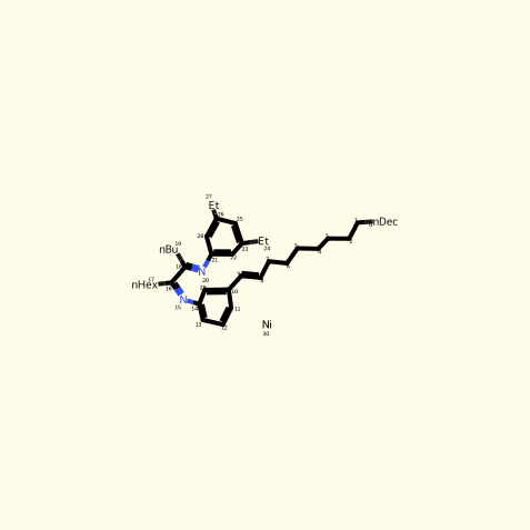 CCCCCCCCCCCCCCCCCC=Cc1cccc(N=C(CCCCCC)C(CCCC)=Nc2cc(CC)cc(CC)c2)c1.[Ni]